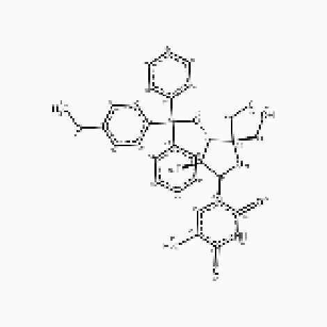 COc1ccc(C(O[C@H]2[C@H](F)[C@H](n3cc(C)c(=O)[nH]c3=O)O[C@@]2(CO)CCl)(c2ccccc2)c2ccccc2)cc1